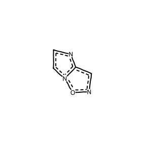 c1cn2oncc2n1